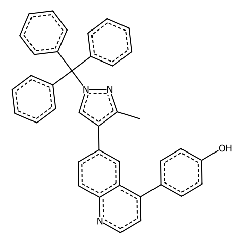 Cc1nn(C(c2ccccc2)(c2ccccc2)c2ccccc2)cc1-c1ccc2nccc(-c3ccc(O)cc3)c2c1